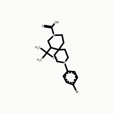 CC(C)(C)C1CN(C(=O)O)CCC12CCN(c1ccc(Br)cc1)CC2